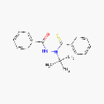 CC(C)(C)N(NC(=O)c1ccccc1)C(=S)c1ccccc1